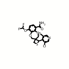 NC(=O)c1ccc(OC(F)F)c2c1OCC1(CO2)CSC1c1c(Cl)cncc1Cl